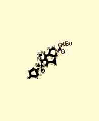 Cc1ccc(S(=O)(=O)n2cc(C3CC3)c3c(C4=CCN(C(=O)OC(C)(C)C)CC4)ncnc32)cc1